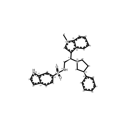 Cn1cc([C@H](CNS(=O)(=O)c2ccc3cc[nH]c3c2)N2CC[C@@H](c3ccccc3)C2)c2ccccc21